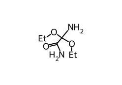 CCOC(N)(OCC)C(N)=O